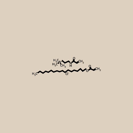 C=CC(=O)NCCC[N+](C)(C)C.C=CC(=O)OCCCCCCCCCCCCCCCCCC.[Cl-]